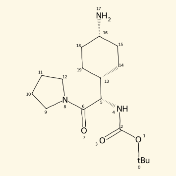 CC(C)(C)OC(=O)N[C@H](C(=O)N1CCCC1)[C@H]1CC[C@@H](N)CC1